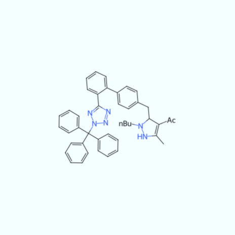 CCCCN1NC(C)=C(C(C)=O)C1Cc1ccc(-c2ccccc2-c2nnn(C(c3ccccc3)(c3ccccc3)c3ccccc3)n2)cc1